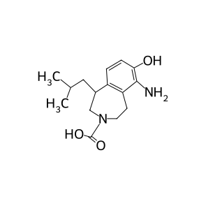 CC(C)CC1CN(C(=O)O)CCc2c1ccc(O)c2N